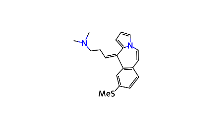 CSc1ccc2c(c1)C(=CCCN(C)C)c1cccn1C=C2